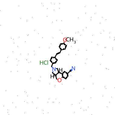 COc1ccc(C=Cc2ccc(CN3C[C@H]4COc5ccc(C#N)cc5[C@@H]4C3)cc2)cc1.Cl